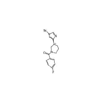 O=C(c1ccc(F)cc1)N1CCC[C@H](c2cn(Br)cn2)C1